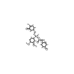 COc1ccc(C2(COc3ccn(C)c(=O)c3)CC2C(=O)Nc2ccc(Cl)cn2)cc1OC